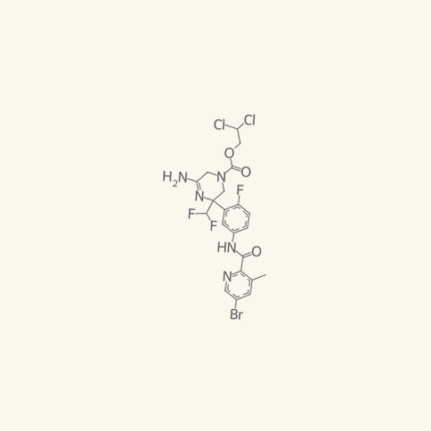 Cc1cc(Br)cnc1C(=O)Nc1ccc(F)c(C2(C(F)F)CN(C(=O)OCC(Cl)Cl)CC(N)=N2)c1